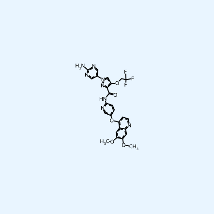 COc1cc2nccc(Oc3ccc(NC(=O)c4nn(-c5cnc(N)nc5)cc4OCC(F)(F)F)nc3)c2cc1OC